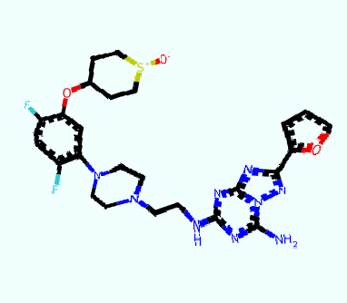 Nc1nc(NCCN2CCN(c3cc(OC4CC[S+]([O-])CC4)c(F)cc3F)CC2)nc2nc(-c3ccco3)nn12